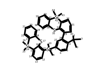 CC(C)(C)c1ccc([Si](C)(C)c2cccc3c2Sc2ccccc2[Si]3(C)C)cc1-c1cccc2c1Sc1ccccc1[Si]2(C)C